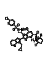 COc1cc(C(=O)N2C[C@H]3CC[C@@H]2[C@@H]3N)cc2nc(-c3cc4cccnc4n3CC3CC3)n(C3CN(S(=O)(=O)c4ccc(Cl)nc4)C3)c12